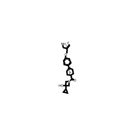 NC/C(=C\F)COc1ccc(C23CCC(C(=O)N4CC(O)(C5CC5)C4)(CC2)CC3)cc1